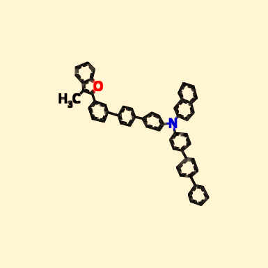 Cc1c(-c2cccc(-c3ccc(-c4ccc(N(c5ccc(-c6ccc(-c7ccccc7)cc6)cc5)c5ccc6ccccc6c5)cc4)cc3)c2)oc2ccccc12